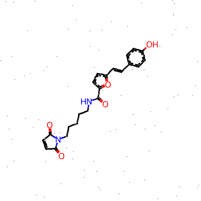 O=C(NCCCCCN1C(=O)C=CC1=O)c1ccc(/C=C/c2ccc(O)cc2)o1